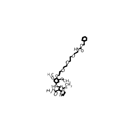 COc1cc(Nc2nc(SC)n3ccnc3c2C(N)=O)cc(OC)c1OCCOCCOCCOCCNC(=O)OCc1ccccc1